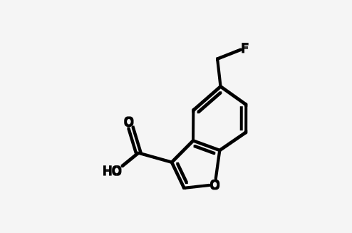 O=C(O)c1coc2ccc(CF)cc12